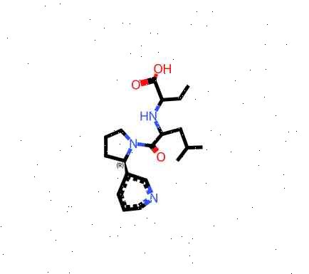 CCC(NC(CC(C)C)C(=O)N1CCC[C@@H]1c1cccnc1)C(=O)O